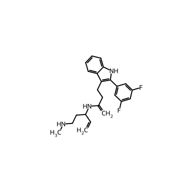 C=CC(CCNC)NC(=C)CCc1c(-c2cc(F)cc(F)c2)[nH]c2ccccc12